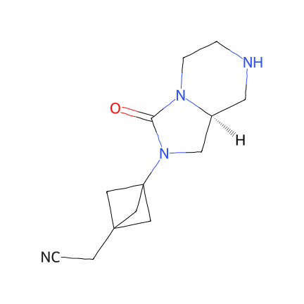 N#CCC12CC(N3C[C@@H]4CNCCN4C3=O)(C1)C2